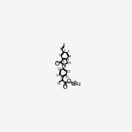 C=Cc1ccc2c(c1)C(=O)N(c1ccc(C(C)C(=O)OC(C)(C)C)cc1)C2